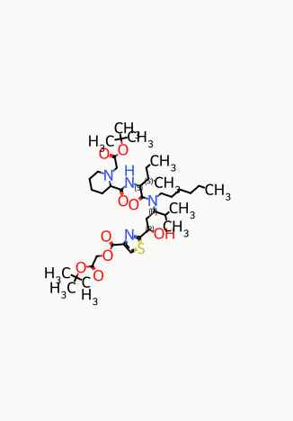 CCCCCCN(C(=O)[C@@H](NC(=O)C1CCCCN1CC(=O)OC(C)(C)C)[C@@H](C)CC)[C@H](C[C@@H](O)c1nc(C(=O)OCC(=O)OC(C)(C)C)cs1)C(C)C